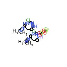 C[N+]1(C)CCN(c2ccc3cc2CCc2cccc(c2)Nc2ncc(Cl)c(n2)N3)CC1.C[N+]1(C)CCN(c2ccc3cc2CCc2cccc(c2)Nc2ncc(Cl)c(n2)N3)CC1.O=C([O-])C(F)(F)F.O=C([O-])C(F)(F)F